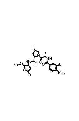 CCOC1OC(=O)C[C@@H]1NC(=O)[C@@H]1CC(F)CN1C(=O)[C@H](C)NC(=O)c1ccc(N)c(Cl)c1